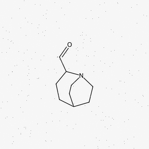 O=[C]C1CCC2CCN1CC2